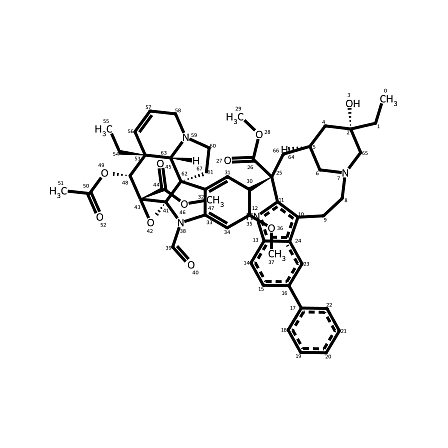 CC[C@]1(O)C[C@H]2CN(CCc3c([nH]c4ccc(-c5ccccc5)cc34)[C@@](C(=O)OC)(C3C=C4C(=CC3OC)N(C=O)[C@@]35O[C@]3(C(=O)OC)[C@H](OC(C)=O)[C@]3(CC)C=CCN6CC[C@]45[C@@H]63)C2)C1